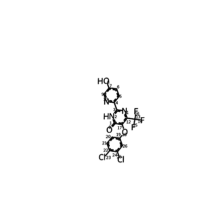 O=c1[nH]c(-c2ccc(O)cn2)nc(C(F)(F)F)c1Oc1ccc(Cl)c(Cl)c1